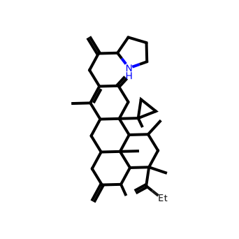 C=C1CC2(C3(C)CC3)C(CC3CC(=C)C(C)C4C(C)(C(=C)CC)CC(C)C2C34C)C(C)=C1CC(=C)C1CCCN1